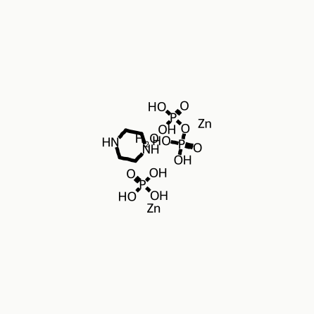 C1CNCCN1.O.O=P(O)(O)O.O=P(O)(O)OP(=O)(O)O.[Zn].[Zn]